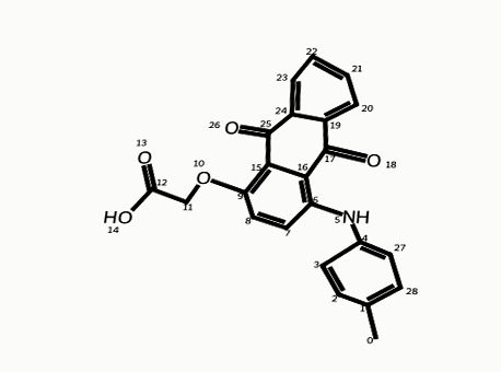 Cc1ccc(Nc2ccc(OCC(=O)O)c3c2C(=O)c2ccccc2C3=O)cc1